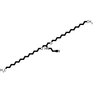 CCCCCCCCCCCCCCCCOCC(COCCCCCCCCCCCCCCCC)NCCC#N